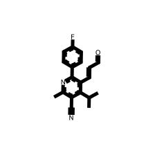 Cc1nc(-c2ccc(F)cc2)c(C=CC=O)c(C(C)C)c1C#N